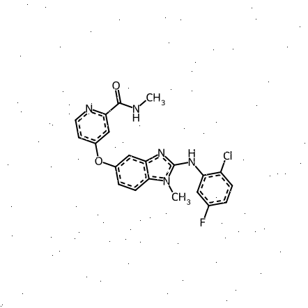 CNC(=O)c1cc(Oc2ccc3c(c2)nc(Nc2cc(F)ccc2Cl)n3C)ccn1